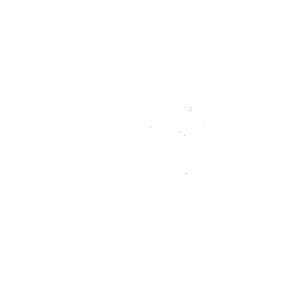 CCCSc1ccc2[nH]c(=O)n(-c3cc(C)cs3)c2c1